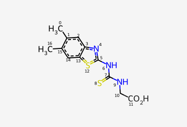 Cc1cc2nc(NC(=S)NCC(=O)O)sc2cc1C